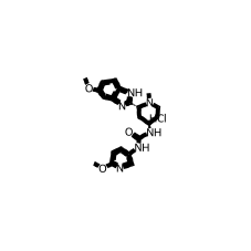 COc1ccc2[nH]c([C@H]3C[C@H](NC(=O)Nc4ccc(OC)nc4)CCN3C)nc2c1.Cl